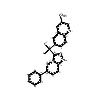 COc1cnc2ccc(C(C)(F)c3nnc4ccc(-c5ccccc5)nn34)cc2c1